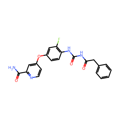 NC(=O)c1cc(Oc2ccc(NC(=O)NC(=O)Cc3ccccc3)c(F)c2)ccn1